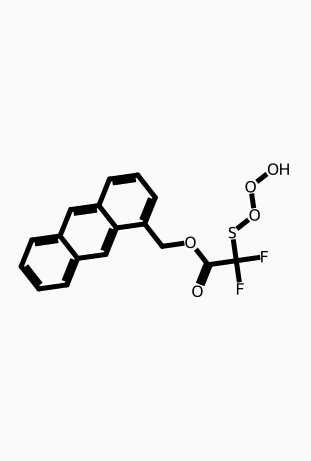 O=C(OCc1cccc2cc3ccccc3cc12)C(F)(F)SOOO